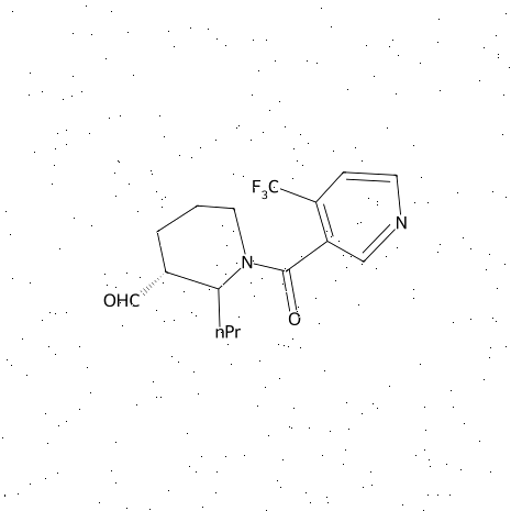 CCCC1[C@H](C=O)CCCN1C(=O)c1cnccc1C(F)(F)F